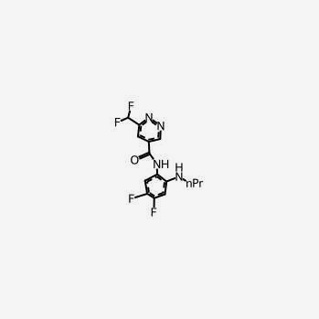 CCCNc1cc(F)c(F)cc1NC(=O)c1cnnc(C(F)F)c1